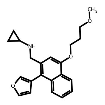 COCCCOc1cc(CNC2CC2)c(-c2ccoc2)c2ccccc12